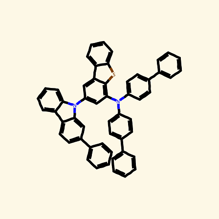 c1ccc(-c2ccc(N(c3ccc(-c4ccccc4)cc3)c3cc(-n4c5ccccc5c5ccc(-c6ccccc6)cc54)cc4c3sc3ccccc34)cc2)cc1